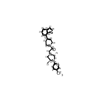 C[C@@H]1CN(c2ccc(C(F)(F)F)cn2)[C@@H](C)CN1CC(=O)N1CC=C(c2cccc3ccsc23)CC1